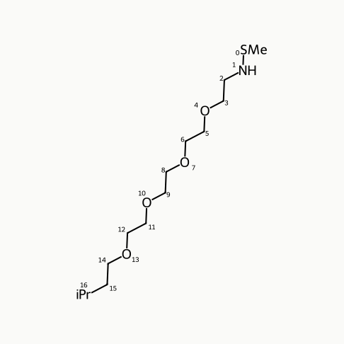 CSNCCOCCOCCOCCOCCC(C)C